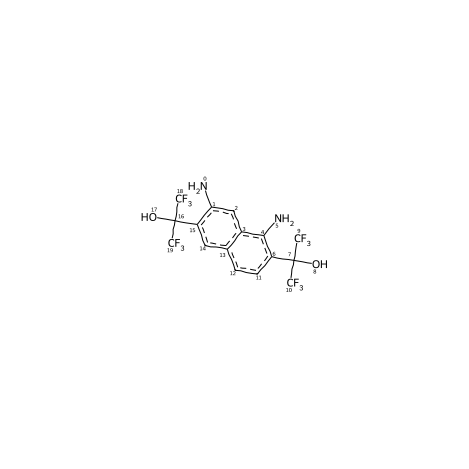 Nc1cc2c(N)c(C(O)(C(F)(F)F)C(F)(F)F)ccc2cc1C(O)(C(F)(F)F)C(F)(F)F